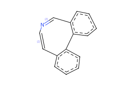 C1=C\c2ccccc2-c2ccccc2\C=N/1